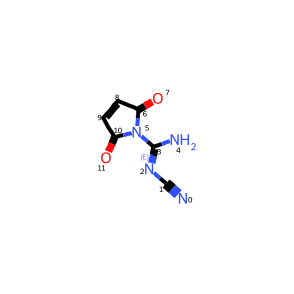 N#C/N=C(\N)N1C(=O)C=CC1=O